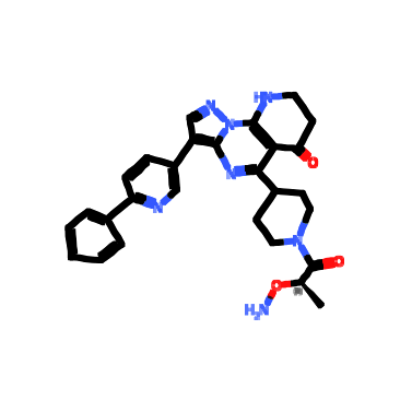 C[C@@H](ON)C(=O)N1CCC(c2nc3c(-c4ccc(-c5ccccc5)nc4)cnn3c3c2C(=O)CCN3)CC1